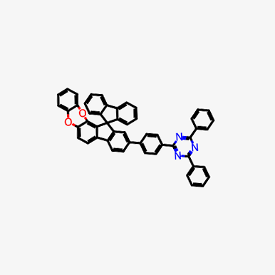 c1ccc(-c2nc(-c3ccccc3)nc(-c3ccc(-c4ccc5c(c4)C4(c6ccccc6-c6ccccc64)c4c-5ccc5c4Oc4ccccc4O5)cc3)n2)cc1